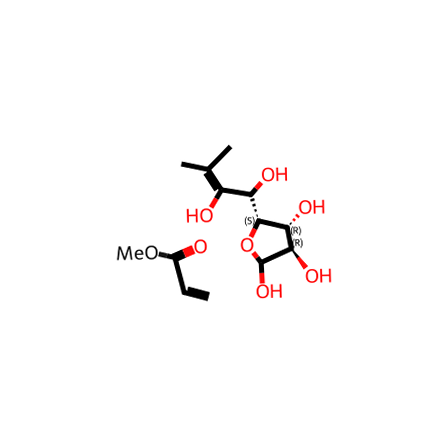 C=CC(=O)OC.CC(C)=C(O)C(O)[C@H]1OC(O)[C@H](O)[C@H]1O